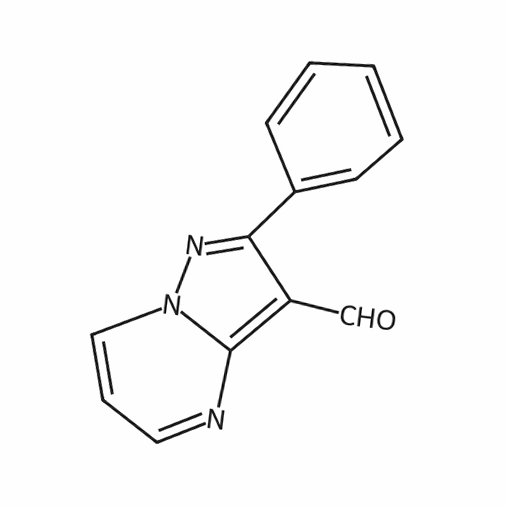 O=Cc1c(-c2ccccc2)nn2cccnc12